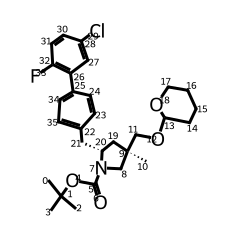 CC(C)(C)OC(=O)N1C[C@](C)(COC2CCCCO2)C[C@H]1Cc1ccc(-c2cc(Cl)ccc2F)cc1